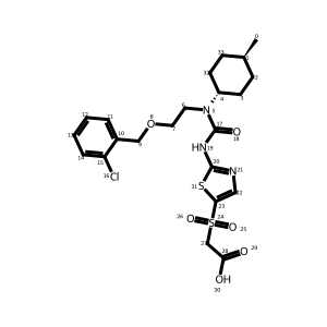 C[C@H]1CC[C@H](N(CCOCc2ccccc2Cl)C(=O)Nc2ncc(S(=O)(=O)CC(=O)O)s2)CC1